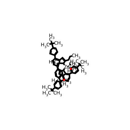 CCCC1=Cc2c(-c3ccc(C(C)(C)C)cc3)ccc(-c3ccc(C(C)(C)C)cc3)c2[CH]1[Zr]([CH]1C(CCC)=Cc2c(-c3ccc(C(C)(C)C)cc3)ccc(-c3ccc(C(C)(C)C)cc3)c21)[SiH](C)C